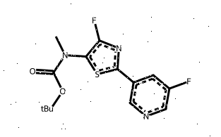 CN(C(=O)OC(C)(C)C)c1sc(-c2cncc(F)c2)nc1F